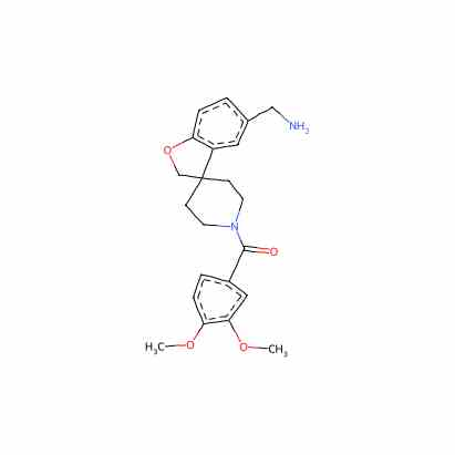 COc1ccc(C(=O)N2CCC3(CC2)COc2ccc(CN)cc23)cc1OC